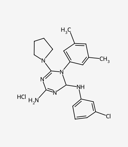 Cc1cc(C)cc(N2C(N3CCCC3)=NC(N)=NC2Nc2cccc(Cl)c2)c1.Cl